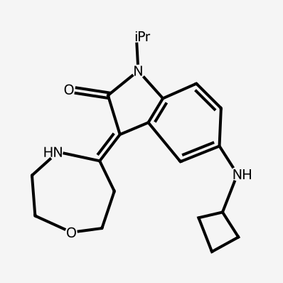 CC(C)N1C(=O)/C(=C2/CCOCCN2)c2cc(NC3CCC3)ccc21